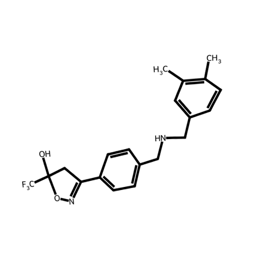 Cc1ccc(CNCc2ccc(C3=NOC(O)(C(F)(F)F)C3)cc2)cc1C